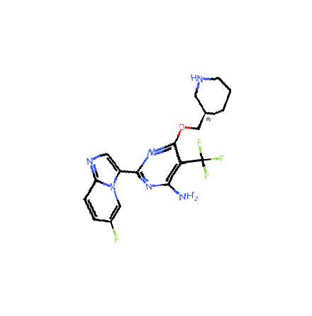 Nc1nc(-c2cnc3ccc(F)cn23)nc(OC[C@@H]2CCCNC2)c1C(F)(F)F